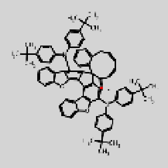 C=C1/C=C\C=C/Cc2ccccc2C12c1cc(N(c3ccc(C(C)(C)C)cc3)c3ccc(C(C)(C)C)cc3)c3c(oc4ccccc43)c1-c1c2cc(N(c2ccc(C(C)(C)C)cc2)c2ccc(C(C)(C)C)cc2)c2oc3ccccc3c12